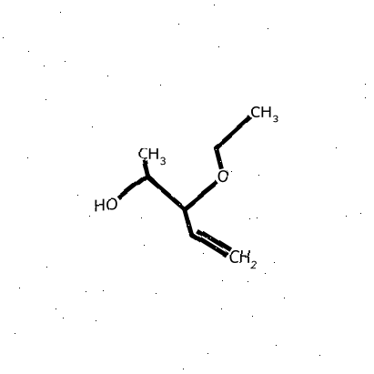 C=CC(OCC)C(C)O